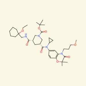 CCOC1(CNC(=O)[C@H]2C[C@@H](C(=O)N(c3ccc4c(c3)N(CCCOC)C(=O)C(C)(C)O4)C3CC3)CN(C(=O)OC(C)(C)C)C2)CCCCC1